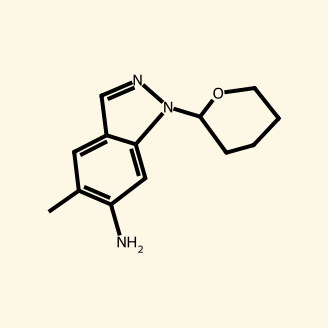 Cc1cc2cnn(C3CCCCO3)c2cc1N